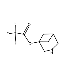 O=C(OC12CNCC(C1)C2)C(F)(F)F